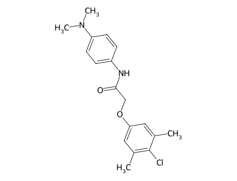 Cc1cc(OCC(=O)Nc2ccc(N(C)C)cc2)cc(C)c1Cl